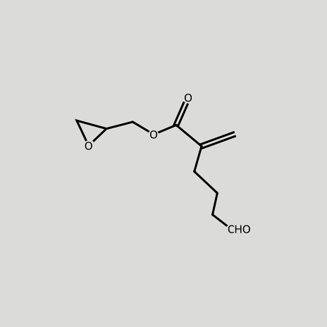 C=C(CCCC=O)C(=O)OCC1CO1